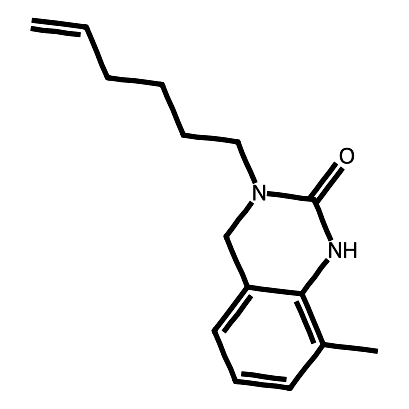 C=CCCCCN1Cc2cccc(C)c2NC1=O